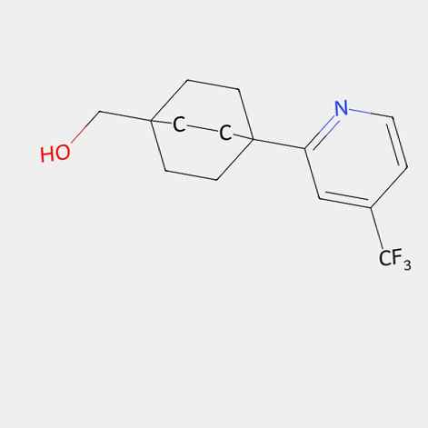 OCC12CCC(c3cc(C(F)(F)F)ccn3)(CC1)CC2